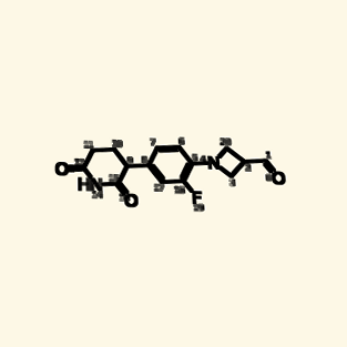 O=CC1CN(c2ccc(C3CCC(=O)NC3=O)cc2F)C1